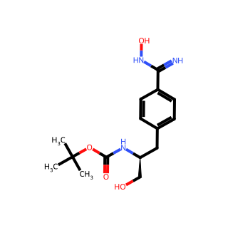 CC(C)(C)OC(=O)N[C@H](CO)Cc1ccc(C(=N)NO)cc1